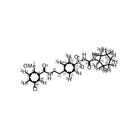 [2H]c1c([2H])c(OC)c(C(=O)NCCc2c([2H])c([2H])c(S(=O)(=O)NC(=O)NC3([2H])C([2H])([2H])C([2H])([2H])C([2H])([2H])C([2H])([2H])C3([2H])[2H])c([2H])c2[2H])c([2H])c1Cl